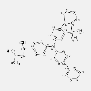 CC(C)OB(O)c1ccc(N(c2ccc(-c3ccccc3)cc2)c2ccc3c(c2)C(C)(C)c2ccccc2-3)cc1